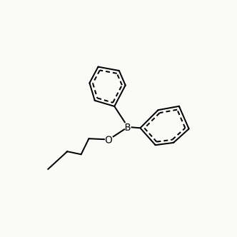 CCCCOB(c1ccccc1)c1ccccc1